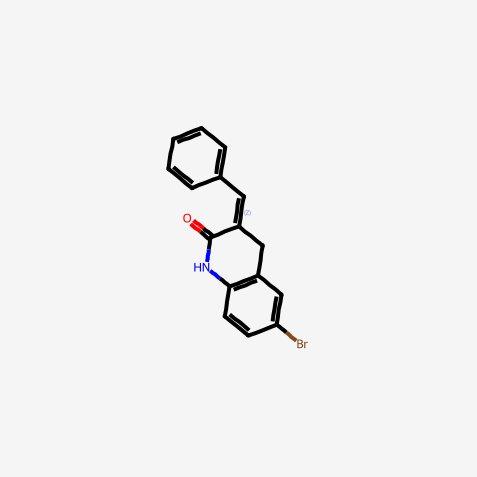 O=C1Nc2ccc(Br)cc2C/C1=C/c1ccccc1